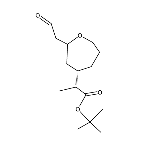 CC(C(=O)OC(C)(C)C)[C@H]1CCCOC(CC=O)C1